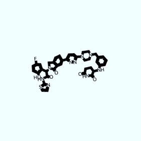 O=C1CCC(Nc2cccc(CN3CCN(c4ccc(-c5ccc6c(c5)C(=O)N(C(C(=O)Nc5nccs5)c5cc(F)ccc5O)C6)nn4)CC3)c2)C(=O)N1